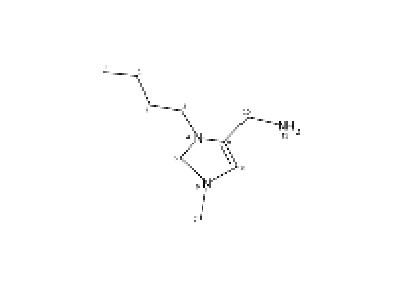 CCCCN1CN(C)C=C1CN